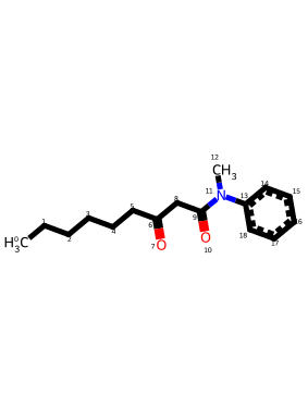 CCCCCCC(=O)CC(=O)N(C)c1ccccc1